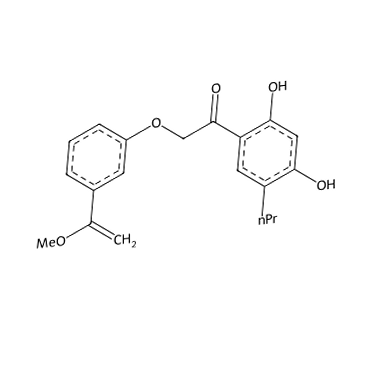 C=C(OC)c1cccc(OCC(=O)c2cc(CCC)c(O)cc2O)c1